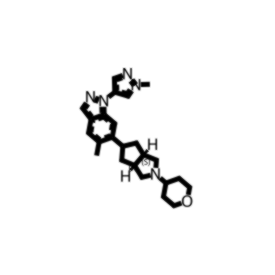 Cc1cc2cnn(-c3cnn(C)c3)c2cc1C1C[C@@H]2CN(C3CCOCC3)C[C@@H]2C1